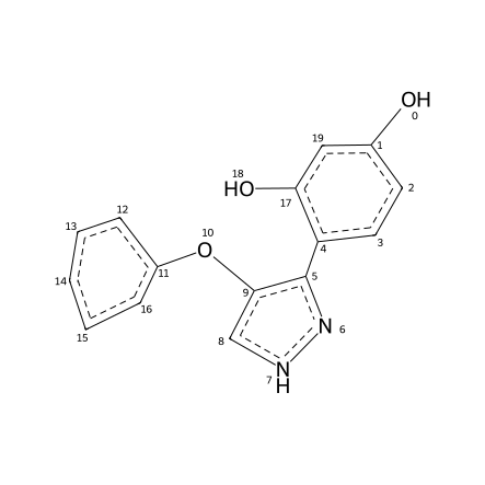 Oc1ccc(-c2n[nH]cc2Oc2ccccc2)c(O)c1